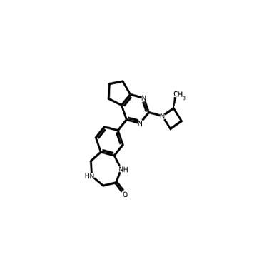 C[C@H]1CCN1c1nc2c(c(-c3ccc4c(c3)NC(=O)CNC4)n1)CCC2